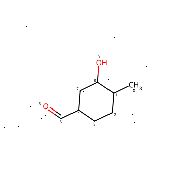 CC1CCC(C=O)CC1O